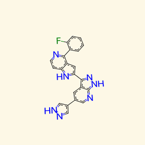 Fc1ccccc1-c1nccc2[nH]c(-c3n[nH]c4ncc(-c5cn[nH]c5)cc34)cc12